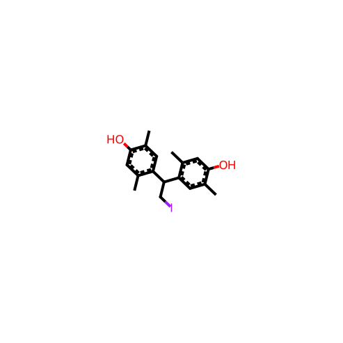 Cc1cc(C(CI)c2cc(C)c(O)cc2C)c(C)cc1O